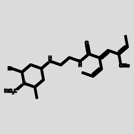 C\C=C/C(=C\C(=C/C)OC)C(=O)NCCNC1CC(C)N(C(=O)OCC)C(CC)C1